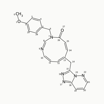 COc1ccc(Cn2cncccc(Cc3nnc4cccnn34)ccc2=O)cc1